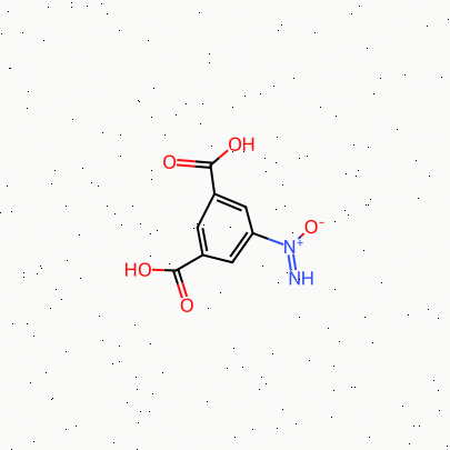 N=[N+]([O-])c1cc(C(=O)O)cc(C(=O)O)c1